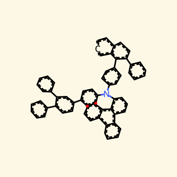 c1ccc(-c2ccc(-c3ccc(N(c4ccc(-c5c(-c6ccccc6)ccc6ccccc56)cc4)c4cccc5c6ccccc6c6ccccc6c45)cc3)cc2-c2ccccc2)cc1